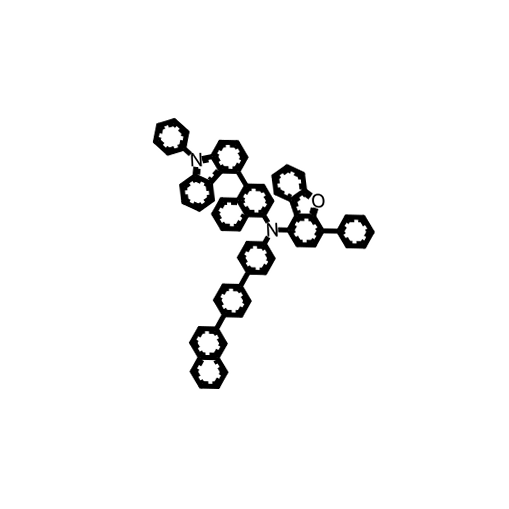 c1ccc(-c2ccc(N(c3ccc(-c4ccc(-c5ccc6ccccc6c5)cc4)cc3)c3ccc(-c4cccc5c4c4ccccc4n5-c4ccccc4)c4ccccc34)c3c2oc2ccccc23)cc1